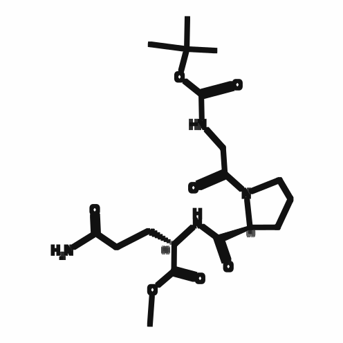 COC(=O)[C@H](CCC(N)=O)NC(=O)[C@@H]1CCCN1C(=O)CNC(=O)OC(C)(C)C